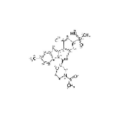 CC(=O)N1CCO[C@@H](Cn2c(-c3c(F)cc(S(C)(=N)=O)cc3Cl)nc3cc(C)ccc32)C1